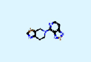 c1cc2nsnc2c(N2CCc3ncsc3C2)n1